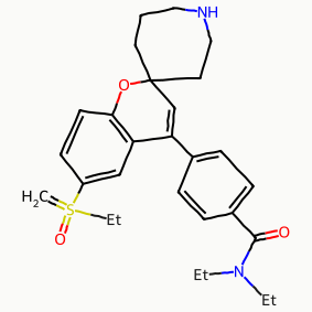 C=S(=O)(CC)c1ccc2c(c1)C(c1ccc(C(=O)N(CC)CC)cc1)=CC1(CCCNCC1)O2